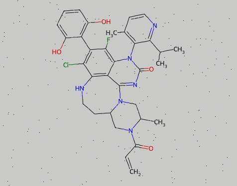 C=CC(=O)N1CC2CCNc3c(Cl)c(-c4c(O)cccc4O)c(F)c4c3c(nc(=O)n4-c3c(C)ccnc3C(C)C)N2CC1C